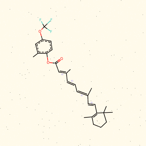 CC1=C(/C=C/C(C)=C/C=C/C(C)=C/C(=O)Oc2ccc(OC(F)(F)F)cc2C)C(C)(C)CCC1